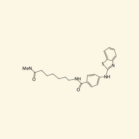 CNC(=O)CCCCCCNC(=O)c1ccc(Nc2nc3ccccc3s2)cc1